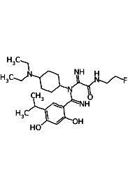 CCN(CC)C1CCC(N(C(=N)C(=O)NCCF)C(=N)c2cc(C(C)C)c(O)cc2O)CC1